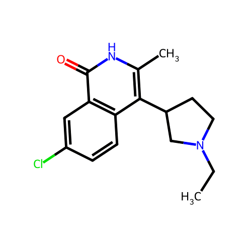 CCN1CCC(c2c(C)[nH]c(=O)c3cc(Cl)ccc23)C1